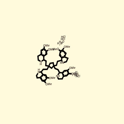 COc1cc2c(cc1OC)C(CCC1(CCC3NCCc4cc(OC)c(OC)cc43)CCC(CCC3NCCc4cc(OC)c(OC)cc43)(CCC3NCCc4cc(OC)c(OC)cc43)C1)NCC2.Cl.Cl.Cl.Cl.O.O.O.O